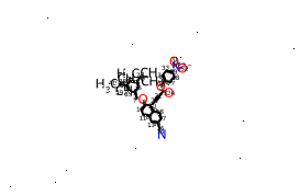 CC(C)(C)c1cc(COc2ccc3cc(C#N)ccc3c2C#CC(=O)Oc2ccc([N+](=O)[O-])cc2)cc(C(C)(C)C)c1